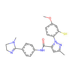 COc1ccc(-n2nc(C)cc2C(=O)Nc2ccc(C3=NCCN3C)cc2)c(S)c1